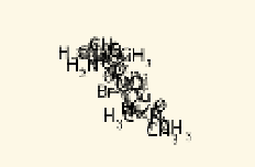 CCN(CC)C(=O)[C@@H]1C=C2c3cccc4c3c(c(Br)n4C(=O)OC(OC(=O)[C@@H](N)C(C)C)C(C)C)C[C@H]2N(C)C1